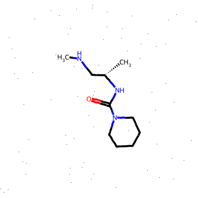 CNC[C@H](C)NC(=O)N1CCCCC1